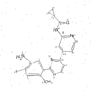 Cc1cc(F)c(N)cc1-c1nccc(-c2ccnc(NC(=O)C3CC3)c2)n1